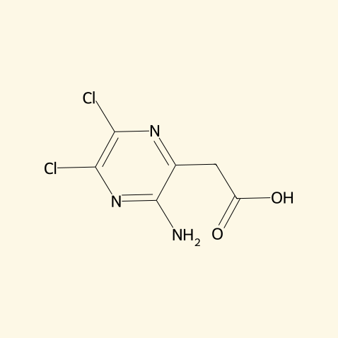 Nc1nc(Cl)c(Cl)nc1CC(=O)O